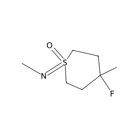 CN=S1(=O)CCC(C)(F)CC1